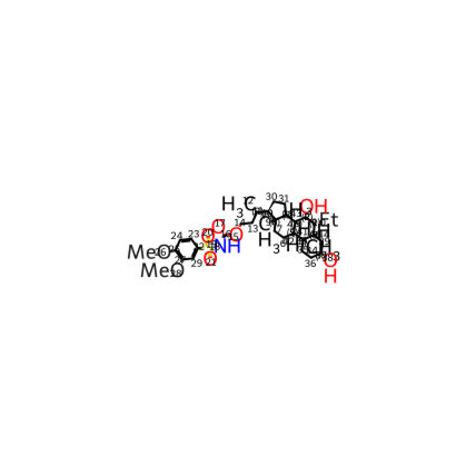 CC[C@H]1[C@@H](O)[C@@H]2[C@H](CC[C@]3(C)[C@@H]([C@H](C)CCOC(=O)NS(=O)(=O)c4ccc(OC)c(OC)c4)CC[C@@H]23)[C@@]2(C)CC[C@@H](O)C[C@@H]12